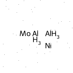 [AlH3].[AlH3].[Mo].[Ni]